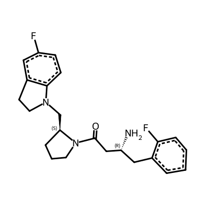 N[C@@H](CC(=O)N1CCC[C@H]1CN1CCc2cc(F)ccc21)Cc1ccccc1F